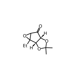 CCC12OC1C(=O)[C@@H]1OC(C)(C)O[C@@H]12